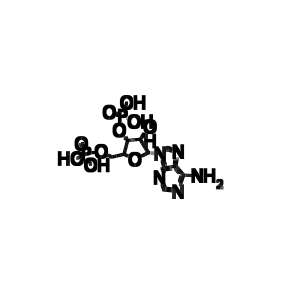 Nc1ncnc2c1ncn2[C@@H]1OC(COP(=O)(O)O)[C@@H](OP(=O)(O)O)[C@H]1O